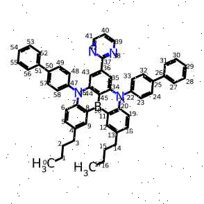 CCCCc1ccc2c(c1)B1c3cc(CCCC)ccc3N(c3ccc(-c4ccccc4)cc3)c3cc(-c4ncccn4)cc(c31)N2c1ccc(-c2ccccc2)cc1